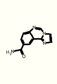 NC(=O)c1ccc2ncn3ccnc3c2c1